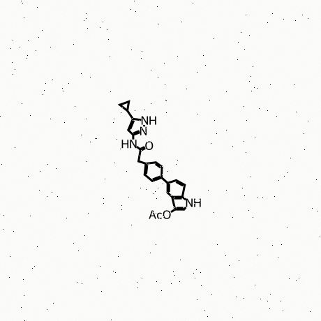 CC(=O)Oc1c[nH]c2ccc(-c3ccc(CC(=O)Nc4cc(C5CC5)[nH]n4)cc3)cc12